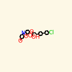 O=C(O)C(CCc1ccc(-c2ccc(Cl)cc2)cc1)Oc1ccc2nc3ccc(=O)cc-3oc2c1